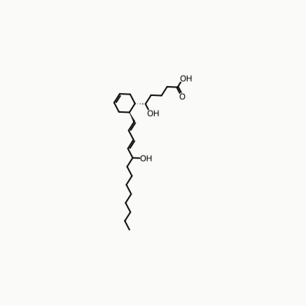 CCCCCCCCC(O)/C=C/C=C/[C@H]1CC=CC[C@@H]1C(O)CCCC(=O)O